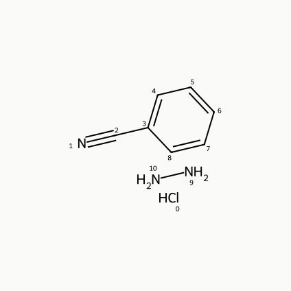 Cl.N#Cc1ccccc1.NN